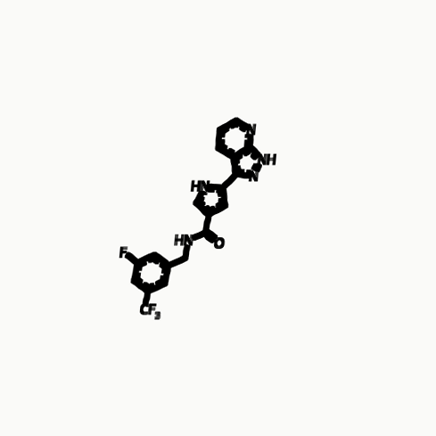 O=C(NCc1cc(F)cc(C(F)(F)F)c1)c1c[nH]c(-c2n[nH]c3ncccc23)c1